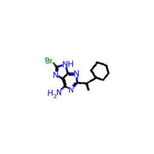 CC(c1nc(N)c2nc(Br)[nH]c2n1)C1CCCCC1